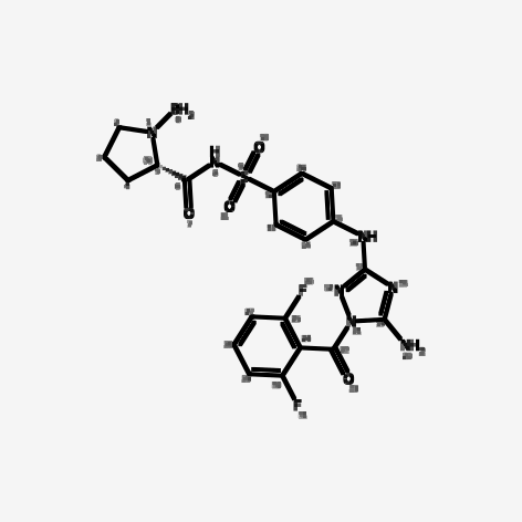 BN1CCC[C@H]1C(=O)NS(=O)(=O)c1ccc(Nc2nc(N)n(C(=O)c3c(F)cccc3F)n2)cc1